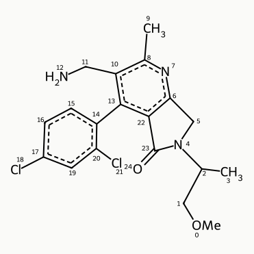 COCC(C)N1Cc2nc(C)c(CN)c(-c3ccc(Cl)cc3Cl)c2C1=O